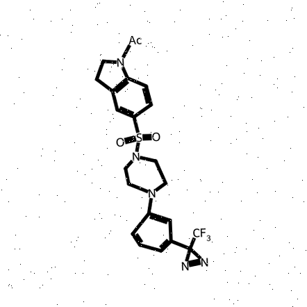 CC(=O)N1CCc2cc(S(=O)(=O)N3CCN(c4cccc(C5(C(F)(F)F)N=N5)c4)CC3)ccc21